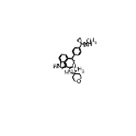 CNC(=O)c1ccc(C(F)c2cccc3[nH]cc(C(=O)NC4(C)CCOCC4)c23)cc1